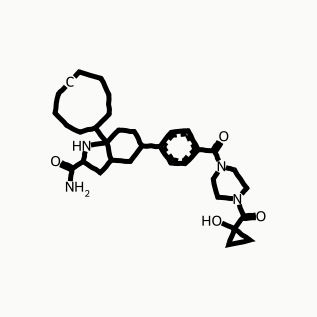 NC(=O)C1CC2CC(c3ccc(C(=O)N4CCN(C(=O)C5(O)CC5)CC4)cc3)CCC2(C2CCCCCCCCC2)N1